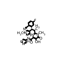 C[C@H](c1nc(C(=O)Nc2cnoc2)c(O)c(=O)n1C)[C@H](c1cc(F)ccc1C#N)c1cn(C)nc1F